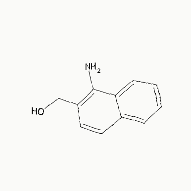 Nc1c(CO)ccc2ccccc12